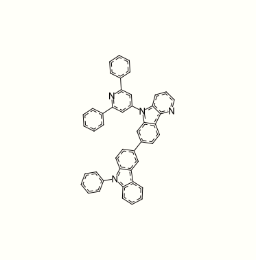 c1ccc(-c2cc(-n3c4cc(-c5ccc6c(c5)c5ccccc5n6-c5ccccc5)ccc4c4ncccc43)cc(-c3ccccc3)n2)cc1